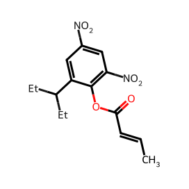 C/C=C/C(=O)Oc1c(C(CC)CC)cc([N+](=O)[O-])cc1[N+](=O)[O-]